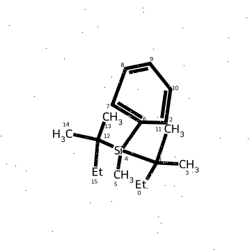 CCC(C)(C)[Si](C)(c1ccccc1)C(C)(C)CC